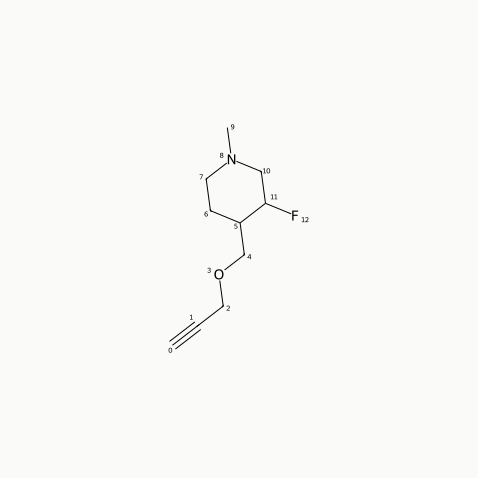 C#CCOCC1CCN(C)CC1F